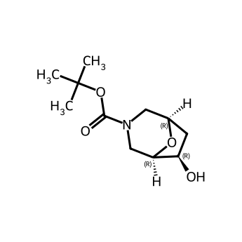 CC(C)(C)OC(=O)N1C[C@H]2C[C@@H](O)[C@@H](C1)O2